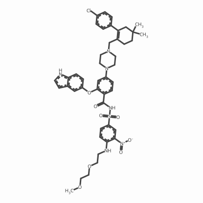 COCCOCCNc1ccc(S(=O)(=O)NC(=O)c2ccc(N3CCN(CC4=C(c5ccc(Cl)cc5)CC(C)(C)CC4)CC3)cc2Oc2ccc3[nH]ccc3c2)cc1[N+](=O)[O-]